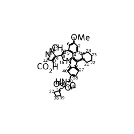 COc1ccc2c(c1)C=C(c1c(C(=O)O)cnn1C)Cn1c-2c(C2CCCCC2)c2ccc(C(=O)NS(=O)(=O)C3CCC3)cc21